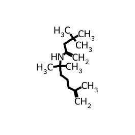 C=C(C)CCCC(C)(C)NC(=C)CC(C)(C)C